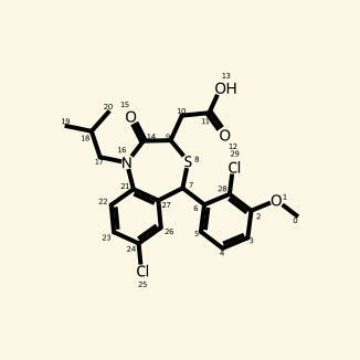 COc1cccc(C2SC(CC(=O)O)C(=O)N(CC(C)C)c3ccc(Cl)cc32)c1Cl